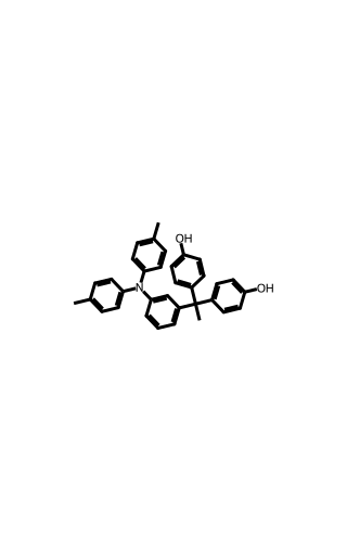 Cc1ccc(N(c2ccc(C)cc2)c2cccc(C(C)(c3ccc(O)cc3)c3ccc(O)cc3)c2)cc1